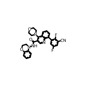 N#Cc1cc(F)cc(-c2cccc3c(N4CCOCC4)c(C(=O)NN4CCOc5ccccc54)cnc23)c1F